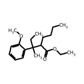 CCCCC(C(=O)OCC)C(C)(CC)c1ccccc1OC